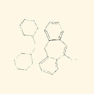 COC1=Cc2ccccc2[C@@H](P(C2CCCCC2)C2CCCCC2)c2ccccc21